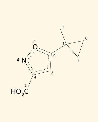 CC1(c2cc(C(=O)O)no2)CC1